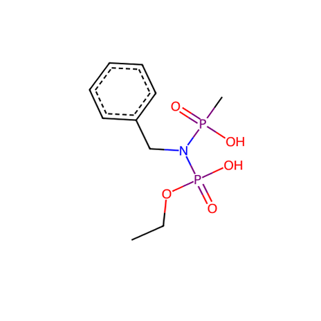 CCOP(=O)(O)N(Cc1ccccc1)P(C)(=O)O